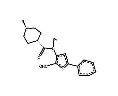 CC(C)N(c1cc(-c2ccccc2)sc1C=O)C(=O)[C@H]1CC[C@H](C)CC1